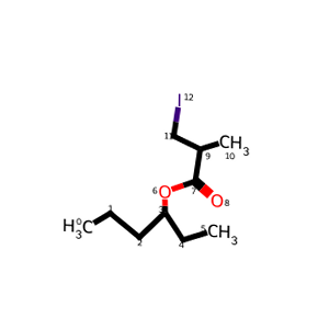 CCCC(CC)OC(=O)C(C)CI